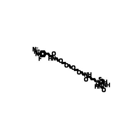 [N-]=[N+]=Nc1ccc(CCC(=O)NCCOCCOCCOCCOCCNC(=O)CCCC[C@@H]2SC[C@@H]3NC(=O)N[C@@H]32)cc1F